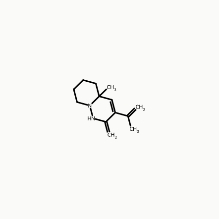 C=C(C)C1=CC2(C)CCCCN2NC1=C